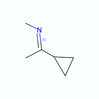 C/N=C(\C)C1CC1